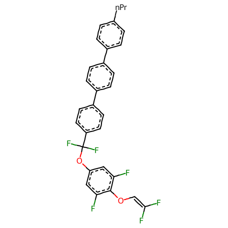 CCCc1ccc(-c2ccc(-c3ccc(C(F)(F)Oc4cc(F)c(OC=C(F)F)c(F)c4)cc3)cc2)cc1